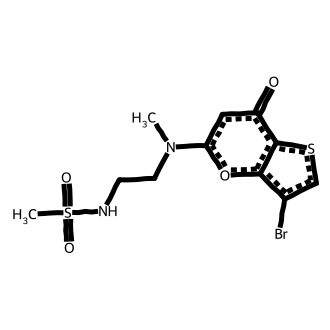 CN(CCNS(C)(=O)=O)c1cc(=O)c2scc(Br)c2o1